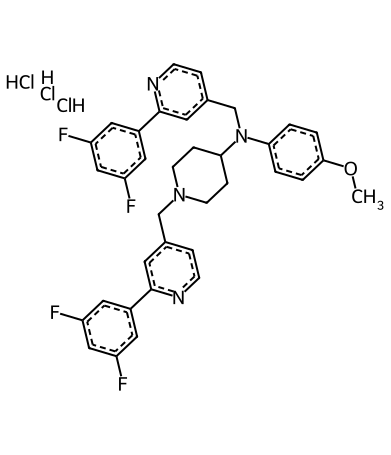 COc1ccc(N(Cc2ccnc(-c3cc(F)cc(F)c3)c2)C2CCN(Cc3ccnc(-c4cc(F)cc(F)c4)c3)CC2)cc1.Cl.Cl.Cl